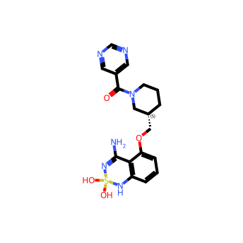 NC1=NS(O)(O)Nc2cccc(OC[C@H]3CCCN(C(=O)c4cncnc4)C3)c21